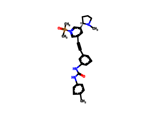 Cc1ccc(NC(=O)Nc2cccc(C#Cc3cc([C@@H]4CCCN4C)c[n+]([S-](C)(C)=O)c3)c2)cc1